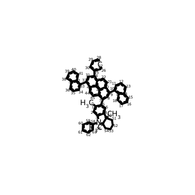 Cc1cc2c(cc1-c1cc(-c3cccc4ccccc34)c3ccc4c(-c5ccccc5)cc(-c5cccc6ccccc56)c5ccc1c3c45)C1(C)CCCCC1(C)N2c1ccccc1